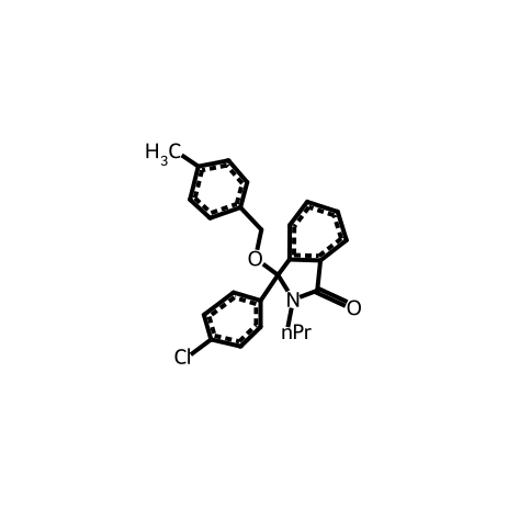 CCCN1C(=O)c2ccccc2C1(OCc1ccc(C)cc1)c1ccc(Cl)cc1